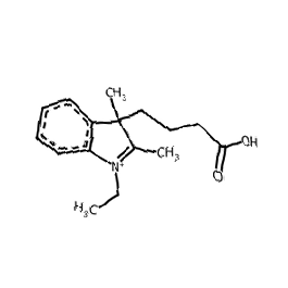 CC[N+]1=C(C)C(C)(CCCC(=O)O)c2ccccc21